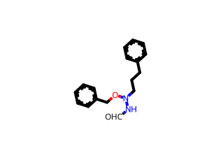 O=CNN(CCCc1ccccc1)OCc1ccccc1